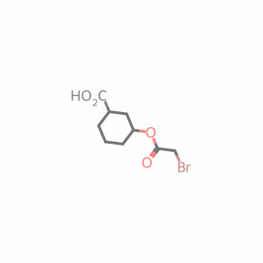 O=C(CBr)OC1CCCC(C(=O)O)C1